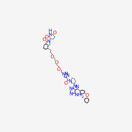 Nc1ncnc2c1c(-c1ccc(Oc3ccccc3)cc1)nn2C1CCCN(C(=O)c2cn(CCOCCOCCOCCCc3cccc4c3CN(C3CCC(=O)NC3=O)C4=O)nn2)C1